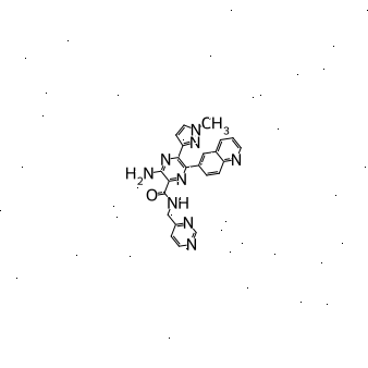 Cn1ccc(-c2nc(N)c(C(=O)NCc3ccncn3)nc2-c2ccc3ncccc3c2)n1